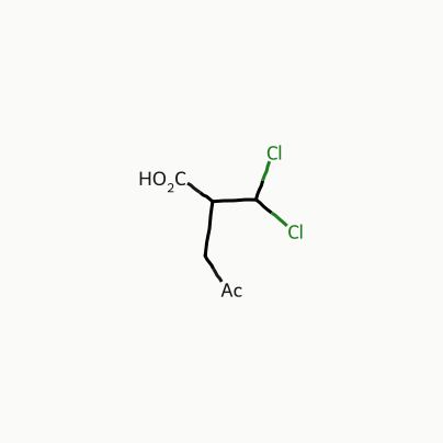 CC(=O)CC(C(=O)O)C(Cl)Cl